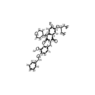 COc1cc(Cn2c(=O)c3cc(OC(CF)CF)c(F)cc3n(C3CCOCC3)c2=O)ccc1OCc1ccccc1